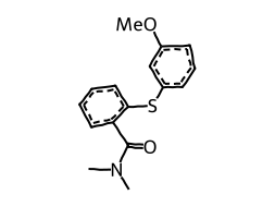 COc1cccc(Sc2ccccc2C(=O)N(C)C)c1